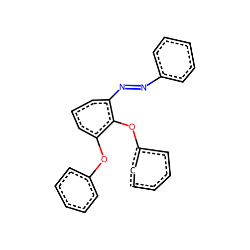 c1ccc(N=Nc2cccc(Oc3ccccc3)c2Oc2ccccc2)cc1